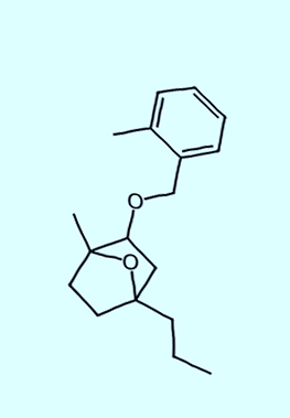 CCCC12CCC(C)(O1)C(OCc1ccccc1C)C2